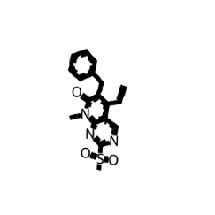 C=Cc1c(Cc2ccccc2)c(=O)n(C)c2nc(S(C)(=O)=O)ncc12